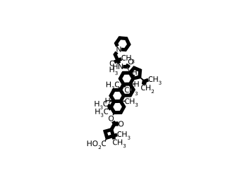 C=C(C)[C@@H]1CC[C@]2(C(=O)NC(C)(C)CN3CCCCC3)CC[C@]3(C)[C@H](CCC4[C@@]5(C)CC[C@H](OC(=O)C6C[C@@H](C(=O)O)C6(C)C)C(C)(C)[C@@H]5CC[C@]43C)[C@@H]12